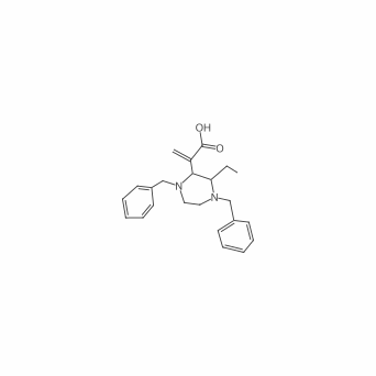 C=C(C(=O)O)C1C(CC)N(Cc2ccccc2)CCN1Cc1ccccc1